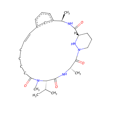 CC(C)[C@H]1C(=O)N[C@@H](C)C(=O)N2CCC[C@H](N2)C(=O)N[C@H](C)c2cccc(c2)C=CCCCCC(=O)N1C